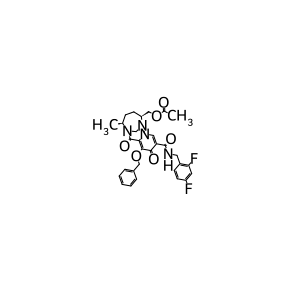 CC(=O)OC[C@@H]1CC[C@H](C)N2CN1n1cc(C(=O)NCc3ccc(F)cc3F)c(=O)c(OCc3ccccc3)c1C2=O